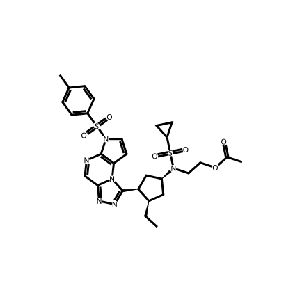 CC[C@@H]1C[C@H](N(CCOC(C)=O)S(=O)(=O)C2CC2)C[C@@H]1c1nnc2cnc3c(ccn3S(=O)(=O)c3ccc(C)cc3)n12